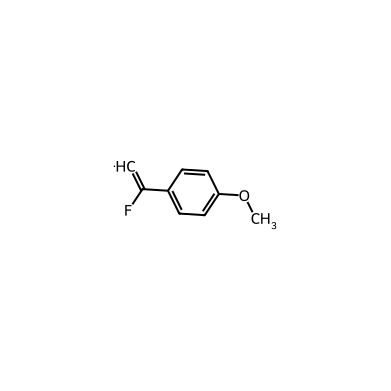 [CH]=C(F)c1ccc(OC)cc1